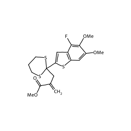 C=C(CC1(c2cc3c(F)c(OC)c(OC)cc3s2)SCCCS1)C(=O)OC